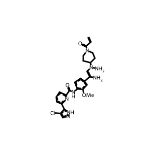 C=CC(=O)N1CCC(N(N)/C=C(\N)c2ccc(NC(=O)c3cccc(-c4[nH]ncc4Cl)n3)c(OC)c2)CC1